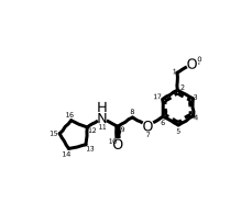 [O]Cc1cccc(OCC(=O)NC2CCCC2)c1